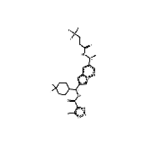 Cc1nonc1C(=O)N[C@H](c1cn2ncc([C@H](C)NC(=O)CCC(F)(F)F)cc2n1)C1CCC(F)(F)CC1